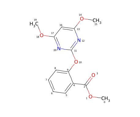 COC(=O)c1ccccc1Oc1nc(OC)cc(OC)n1